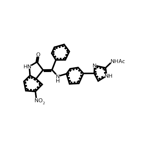 CC(=O)Nc1nc(-c2ccc(NC(=C3C(=O)Nc4ccc([N+](=O)[O-])cc43)c3ccccc3)cc2)c[nH]1